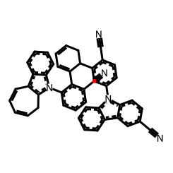 N#Cc1ccc2c(c1)c1ccccc1n2-c1ccc(C#N)c(C2CC=CC=C2c2c(C#N)cccc2-n2c3c(c4ccccc42)C=CC=CC3)c1